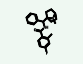 Cc1cc(F)ccc1C(=O)NC(c1ccccc1)C12CCC(CC1)N2C